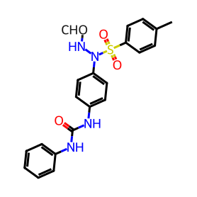 Cc1ccc(S(=O)(=O)N(NC=O)c2ccc(NC(=O)Nc3ccccc3)cc2)cc1